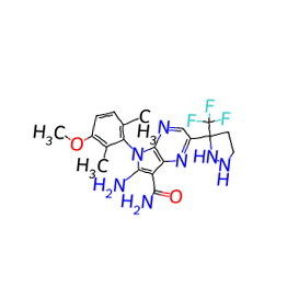 COc1ccc(C)c(-n2c(N)c(C(N)=O)c3nc(C4(C(F)(F)F)CCNN4)cnc32)c1C